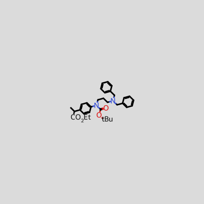 CCOC(=O)C(C)c1ccc(N(CCCN(Cc2ccccc2)Cc2ccccc2)C(=O)OC(C)(C)C)cc1